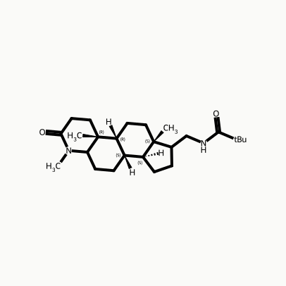 CN1C(=O)CC[C@@]2(C)C1CC[C@@H]1[C@H]2CC[C@]2(C)C(CNC(=O)C(C)(C)C)CC[C@@H]12